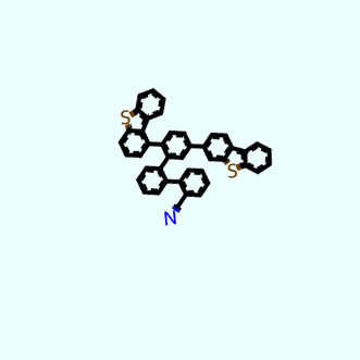 N#Cc1ccccc1-c1ccccc1-c1cc(-c2ccc3c(c2)sc2ccccc23)ccc1-c1cccc2sc3ccccc3c12